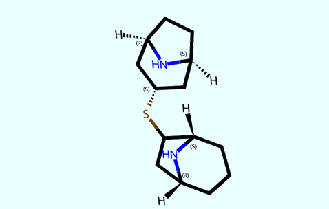 C1C[C@@H]2CC(S[C@@H]3C[C@H]4CC[C@@H](C3)N4)[C@H](C1)N2